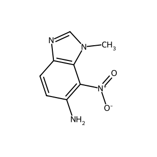 Cn1cnc2ccc(N)c([N+](=O)[O-])c21